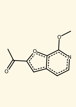 COc1nccc2cc(C(C)=O)oc12